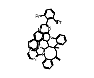 C=C1CC2(C)c3ccccc3N3c4nc(-c5c(C(C)C)cccc5C(C)C)cnc4N(c4ccccc4)C3C2C2N(c3ccccc3)c3nccnc3N2c2ccccc21